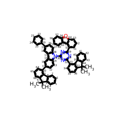 CC1(C)c2ccccc2-c2c(-c3ccc4c(c3)c3cc(-c5ccccc5)ccc3n4-c3nc(-c4cccc5c4-c4ccccc4C5(C)C)nc(-c4cccc5oc6ccccc6c45)n3)cccc21